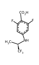 C[C@@H](Nc1cc(F)c(C(=O)O)c(F)c1)C(F)(F)F